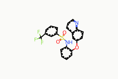 O=S(=O)(Nc1ccccc1Oc1ccc2ncccc2c1)c1cccc(C(F)(F)F)c1